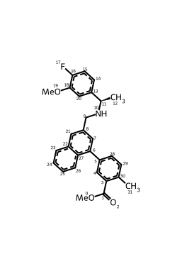 COC(=O)c1cc(-c2cc(CN[C@H](C)c3ccc(F)c(OC)c3)cc3ccccc23)ccc1C